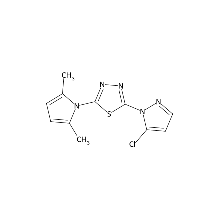 Cc1ccc(C)n1-c1nnc(-n2nccc2Cl)s1